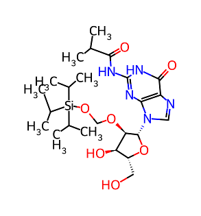 CC(C)C(=O)Nc1nc2c(ncn2[C@@H]2O[C@H](CO)[C@@H](O)[C@H]2OCO[Si](C(C)C)(C(C)C)C(C)C)c(=O)[nH]1